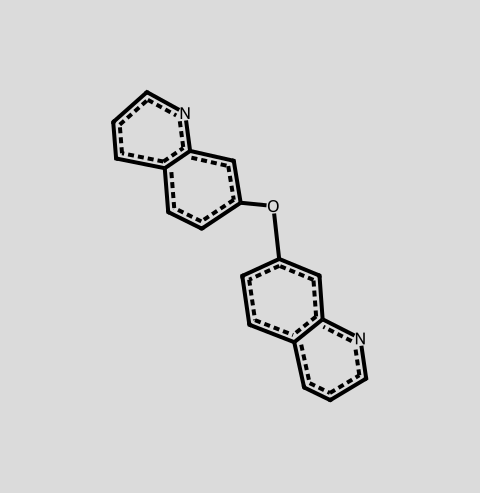 c1cnc2cc(Oc3ccc4cccnc4c3)ccc2c1